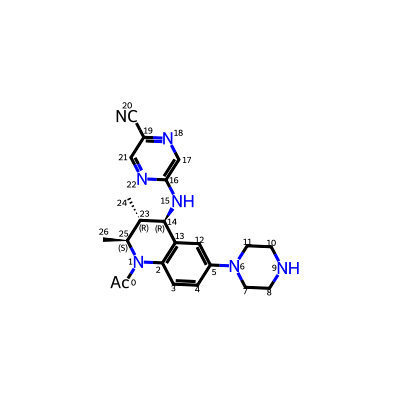 CC(=O)N1c2ccc(N3CCNCC3)cc2[C@H](Nc2cnc(C#N)cn2)[C@@H](C)[C@@H]1C